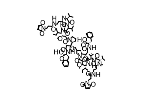 CCC(C)[C@@H](C(CC(=O)N1CC(CO[C@H]([C@@H](C)C(=O)N[C@@H](Cc2ccccc2)C(=O)O)[C@@H]2CCCN2C(=O)CC(OC)[C@H](C(C)CC)N(C)C(=O)[C@@H](NC(=O)[C@H](C(C)C)N(C)C(=O)CCNC(=O)CCN2C(=O)C=CC2=O)C(C)C)C[C@H]1[C@H](OC)[C@@H](C)C(=O)N[C@@H](Cc1ccccc1)C(=O)O)OC)N(C)C(=O)[C@@H](NC(=O)[C@H](C(C)C)N(C)C(=O)CCNC(=O)CCN1C(=O)C=CC1=O)C(C)C